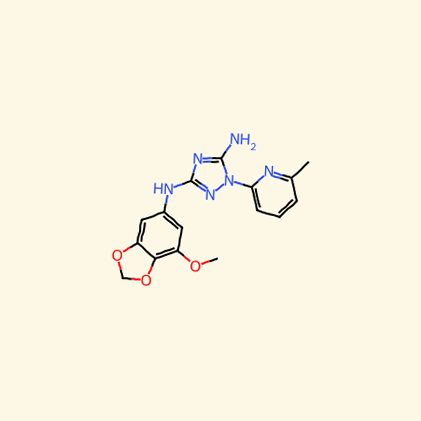 COc1cc(Nc2nc(N)n(-c3cccc(C)n3)n2)cc2c1OCO2